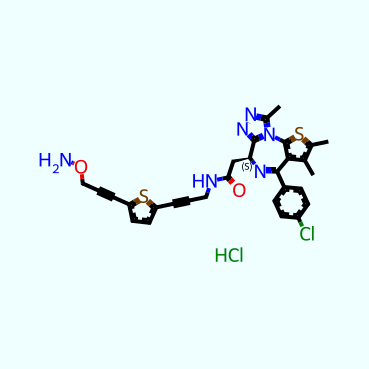 Cc1sc2c(c1C)C(c1ccc(Cl)cc1)=N[C@@H](CC(=O)NCC#Cc1ccc(C#CCON)s1)c1nnc(C)n1-2.Cl